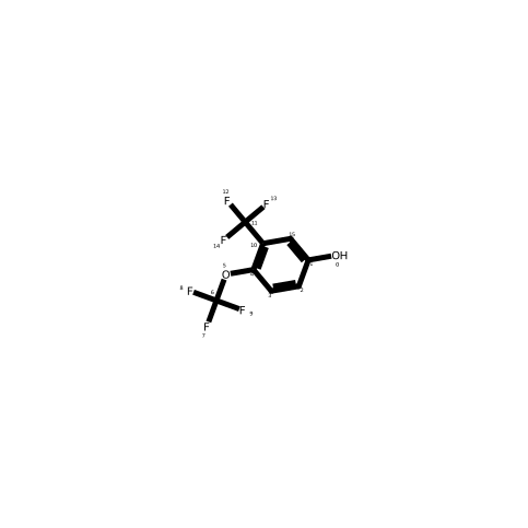 Oc1ccc(OC(F)(F)F)c(C(F)(F)F)c1